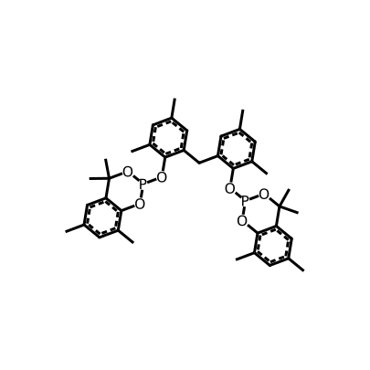 Cc1cc(C)c(OP2Oc3c(C)cc(C)cc3C(C)(C)O2)c(Cc2cc(C)cc(C)c2OP2Oc3c(C)cc(C)cc3C(C)(C)O2)c1